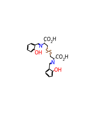 O=C(O)[C@H](CSSC[C@@H](/N=C/c1ccccc1O)C(=O)O)/N=C/c1ccccc1O